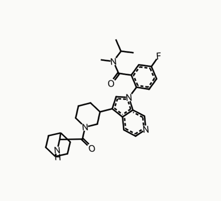 CC(C)N(C)C(=O)c1cc(F)ccc1-n1cc(C2CCCN(C(=O)C3NC4CCC3CC4)C2)c2ccncc21